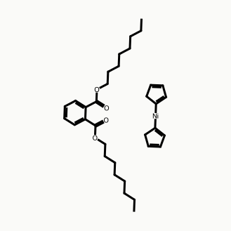 C1=CC[C]([Ni][C]2=CC=CC2)=C1.CCCCCCCCOC(=O)c1ccccc1C(=O)OCCCCCCCC